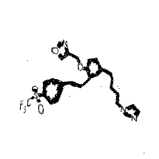 O=S(=O)(c1ccc(C=Cc2cc(CCCCn3ccnc3)ccc2OCc2cocn2)cc1)C(F)(F)F